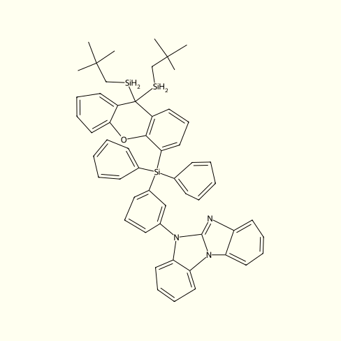 CC(C)(C)C[SiH2]C1([SiH2]CC(C)(C)C)c2ccccc2Oc2c1cccc2[Si](c1ccccc1)(c1ccccc1)c1cccc(-n2c3ccccc3n3c4ccccc4nc23)c1